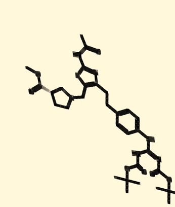 COC(=O)[C@H]1CCN(Cc2sc(NC(C)=O)nc2CCc2ccc(N/C(=N/C(=O)OC(C)(C)C)NC(=O)OC(C)(C)C)cc2)C1